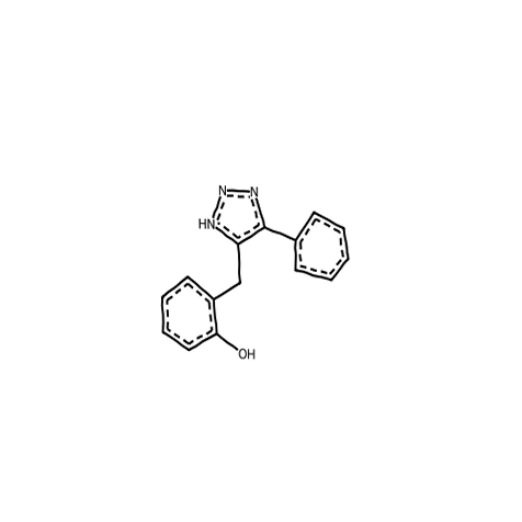 Oc1ccccc1Cc1[nH]nnc1-c1ccccc1